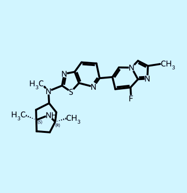 Cc1cn2cc(-c3ccc4nc(N(C)C5C[C@]6(C)CC[C@](C)(C5)N6)sc4n3)cc(F)c2n1